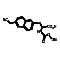 CC(C)(C)OC(=O)NC(Cc1ccc2cc(CC#N)ccc2c1)C(=O)O